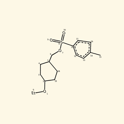 CCOC1CCC(COS(=O)(=O)c2ccc(C)cc2)CC1